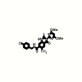 COc1cc(OC)nc(-n2c(=S)[nH]c3cc(C(=O)NCc4ccc(Cl)cc4)c(C)cc3c2=O)n1